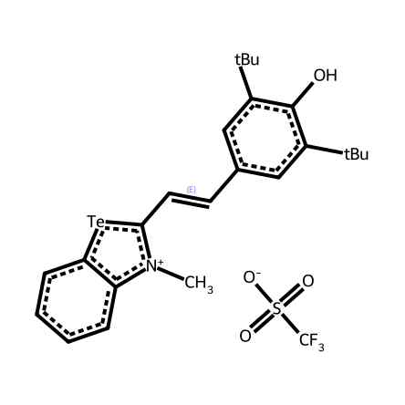 C[n+]1c(/C=C/c2cc(C(C)(C)C)c(O)c(C(C)(C)C)c2)[te]c2ccccc21.O=S(=O)([O-])C(F)(F)F